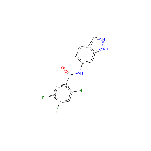 O=C(Nc1ccc2cn[nH]c2c1)c1cc(F)c(F)cc1F